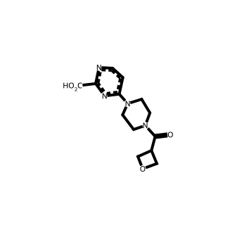 O=C(O)c1nccc(N2CCN(C(=O)C3COC3)CC2)n1